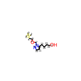 CS(C)(C)CCOCn1nccc1CCCCO